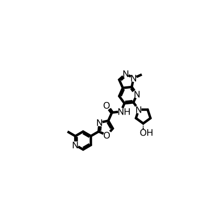 Cc1cc(-c2nc(C(=O)Nc3cc4cnn(C)c4nc3N3CC[C@H](O)C3)co2)ccn1